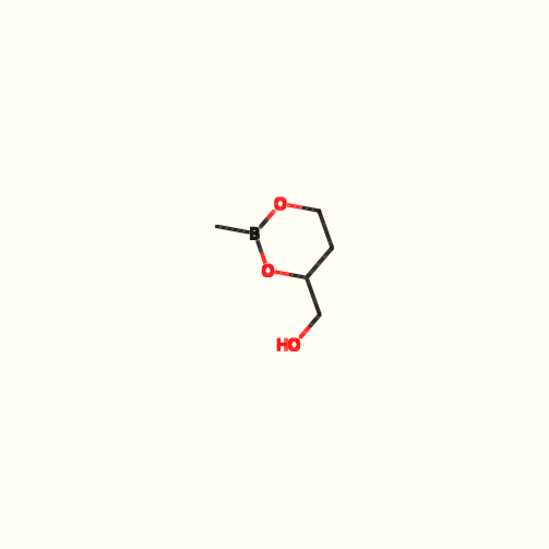 CB1OCCC(CO)O1